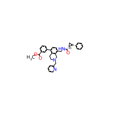 COC(=O)c1cccc(-c2ccc(CNC(=O)[C@@H]3C[C@@H]3c3ccccc3)c3c2CCN(Cc2ccccn2)C3)c1